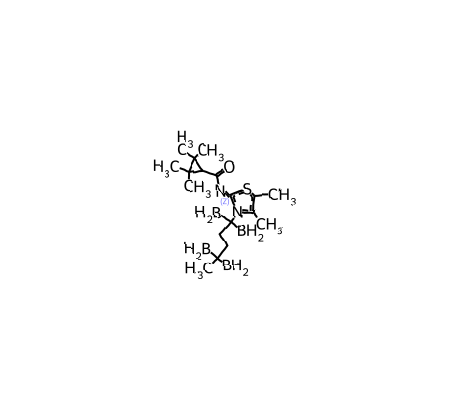 BC(B)(C)CCC(B)(B)n1c(C)c(C)s/c1=N\C(=O)C1C(C)(C)C1(C)C